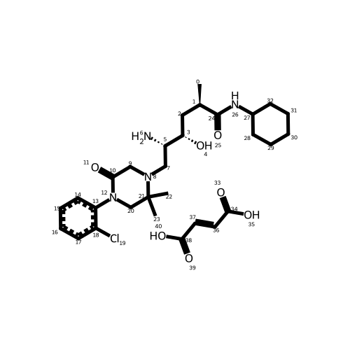 C[C@H](C[C@H](O)[C@@H](N)CN1CC(=O)N(c2ccccc2Cl)CC1(C)C)C(=O)NC1CCCCC1.O=C(O)/C=C/C(=O)O